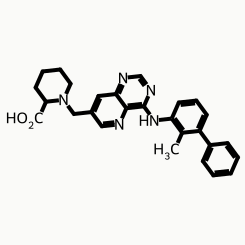 Cc1c(Nc2ncnc3cc(CN4CCCCC4C(=O)O)cnc23)cccc1-c1ccccc1